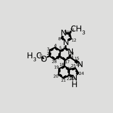 COc1ccc2c(-n3cnc(C)c3)nc(C#N)c(-c3cccc4[nH]ccc34)c2c1